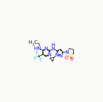 CCNc1nc(Nc2cc(N3CCCS3(=O)=O)nn2C2CC2)ncc1C(F)(F)F